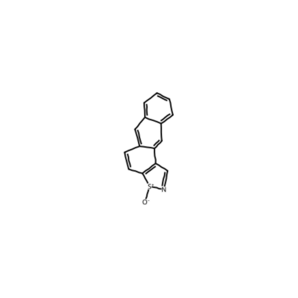 [O-][s+]1ncc2c3cc4ccccc4cc3ccc21